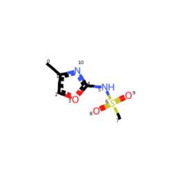 Cc1coc(NS(C)(=O)=O)n1